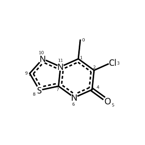 Cc1c(Cl)c(=O)nc2s[c]nn12